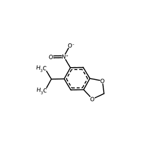 CC(C)c1cc2c(cc1[N+](=O)[O-])OCO2